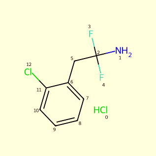 Cl.NC(F)(F)Cc1ccccc1Cl